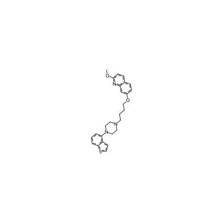 [CH2]Oc1ccc2ccc(OCCCCN3CCN(c4cccc5sccc45)CC3)cc2n1